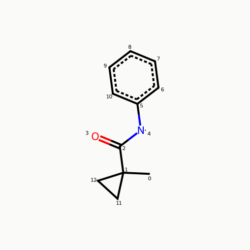 CC1(C(=O)[N]c2ccccc2)CC1